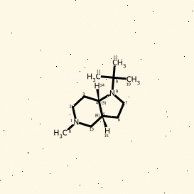 CN1CC[C@H]2[C@H](CCN2C(C)(C)C)C1